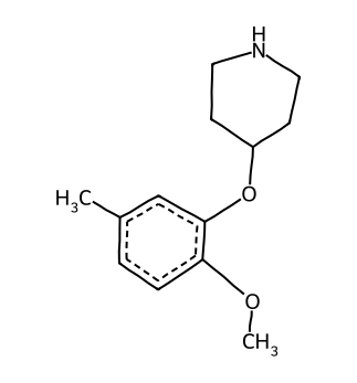 COc1ccc(C)cc1OC1CCNCC1